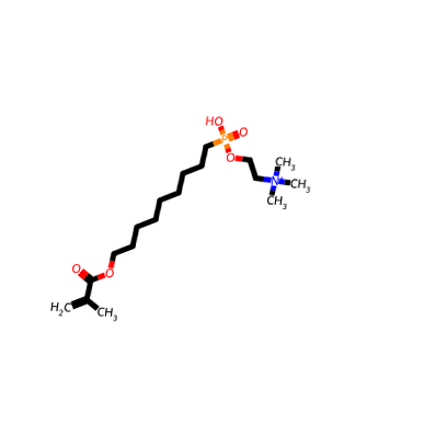 C=C(C)C(=O)OCCCCCCCCCP(=O)(O)OCC[N+](C)(C)C